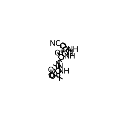 Cc1[nH]nc2c1[C@@](C)(c1cccc(C#N)c1)C1=C(CC(C)(Cn3nc4c(c3C)C3(COc5ccccc53)C3=C(CC(C)(C)CC3=O)N4)CC1=O)N2